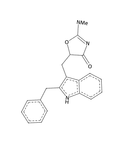 CNC1=NC(=O)C(Cc2c(Cc3ccccc3)[nH]c3ccccc23)O1